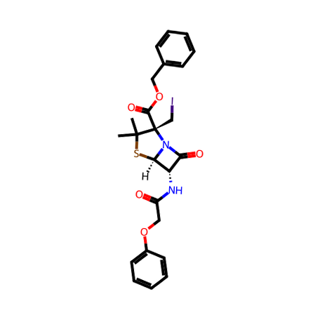 CC1(C)S[C@@H]2[C@@H](NC(=O)COc3ccccc3)C(=O)N2[C@@]1(CI)C(=O)OCc1ccccc1